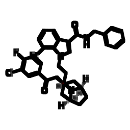 CCc1cccc2c(C(=O)NCc3ccccc3)cn(CCCN3[C@@H]4CC[C@H]3C[C@@H](CC(=O)c3ccc(F)c(Cl)c3)C4)c12